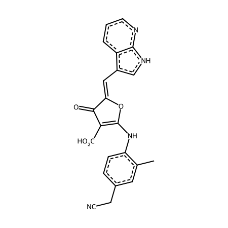 Cc1cc(CC#N)ccc1NC1=C(C(=O)O)C(=O)C(=Cc2c[nH]c3ncccc23)O1